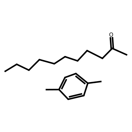 CCCCCCCCCC(C)=O.Cc1ccc(C)cc1